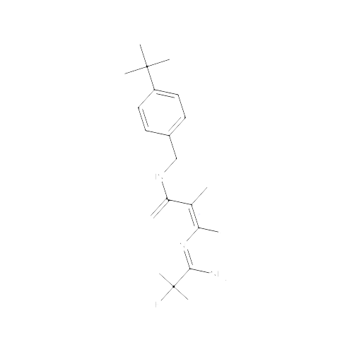 C=C(NCc1ccc(C(C)(C)C)cc1)/C(C)=C(Cl)\N=C(/N)C(F)(F)F